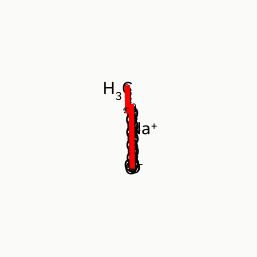 CCCCCCCCCc1ccc(OCCOCCOCCOCCOCCOCCOCCOCCOS(=O)(=O)[O-])cc1.[Na+]